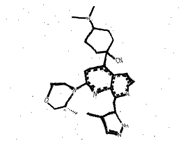 CC1C=NNC1c1nccc2c(C3(C#N)CCC(N(C)C)CC3)cc(N3CCOC[C@H]3C)nc12